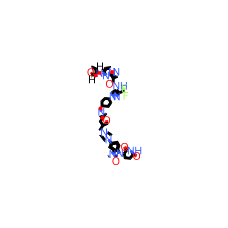 Cn1c(=O)n(C2CCC(=O)NC2=O)c2ccc(N3CCN(CC4COC5(C4)CN(C[C@H]4CC[C@H](n6cc(NC(=O)c7cnn8ccc(N9C[C@H]%10C[C@@H]9CO%10)nc78)c(C(F)F)n6)CC4)C5)CC3)cc21